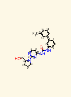 O=C(Nc1cccc(-c2cccc(C(F)(F)F)c2)c1)Nc1ccnc(N2CCC[C@H]2CO)n1